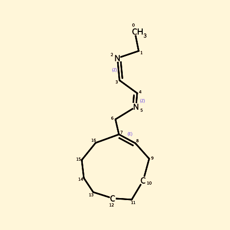 CC/N=C\C=N/C/C1=C/CCCCCCCC1